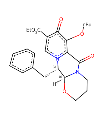 CCCCOc1c2n(cc(C(=O)OCC)c1=O)[C@@H](Cc1ccccc1)[C@@H]1OCCCN1C2=O